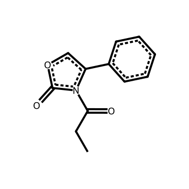 CCC(=O)n1c(-c2ccccc2)coc1=O